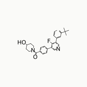 C=C(/C=C(\C=C/C)c1cncc(-c2ccc(C(=O)N3CCC(O)CC3)cc2)c1F)C(C)(C)C